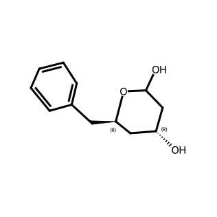 OC1C[C@H](O)C[C@@H](Cc2ccccc2)O1